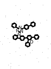 c1ccc(-c2ccc(-c3nc(-c4ccccc4)nc(-n4c5ccccc5c5ccc(-c6ccc(-c7ccccc7)c7oc8ccccc8c67)cc54)n3)cc2)cc1